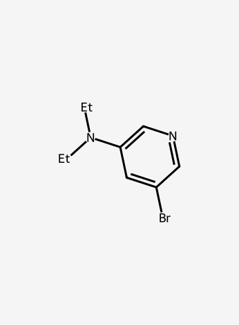 CCN(CC)c1cncc(Br)c1